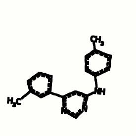 Cc1ccc(Nc2cc(-c3cccc(C)c3)ncn2)cc1